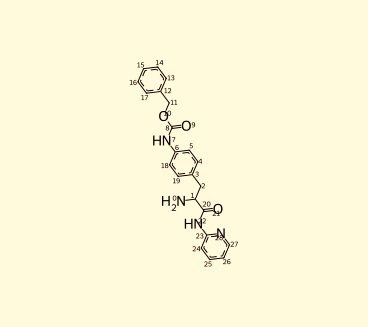 NC(Cc1ccc(NC(=O)OCc2ccccc2)cc1)C(=O)Nc1ccccn1